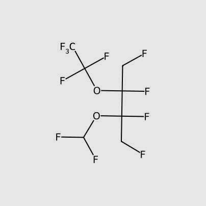 FCC(F)(OC(F)F)C(F)(CF)OC(F)(F)C(F)(F)F